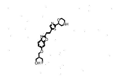 OCC(CF)COc1ccc2nc(C=Cc3cnc(C4CNCCO4)s3)oc2c1